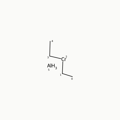 C[CH2][Cr][CH2]C.[AlH3]